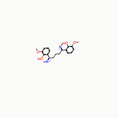 C/N=C(/CCC/C(=N/C)c1cccc(OC)c1O)c1cccc(OC)c1O